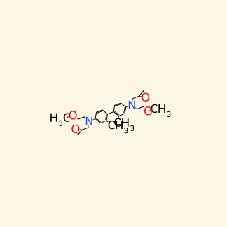 COCCN(CC1CO1)c1ccc(-c2ccc(N(CCOC)CC3CO3)cc2C)c(C)c1